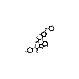 Cc1cc(Oc2ccccc2)ccc1N1C(=O)Nc2c(C(=O)NC3CCNCC3)sc3nccc1c23